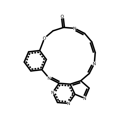 O=C1COc2cccc(c2)/N=c2/ncnc3c2=C(C=N3)\C=N/C=C\C=N/1